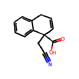 N#CCC1(C(=O)O)C=CCc2ccccc21